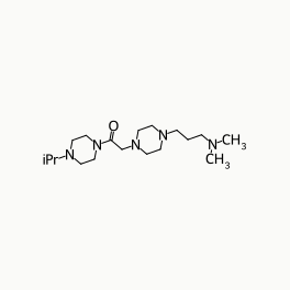 CC(C)N1CCN(C(=O)CN2CCN(CCCN(C)C)CC2)CC1